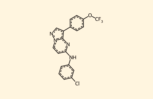 FC(F)(F)Oc1ccc(-c2cnn3ccc(Nc4cccc(Cl)c4)nc23)cc1